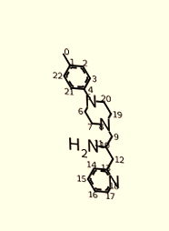 Cc1ccc(N2CCN(CC(N)Cc3ccccn3)CC2)cc1